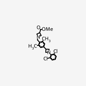 COC(=O)C1CN(Cc2c(C)cc(C3CN(c4c(Cl)cccc4Cl)C3)cc2C)C1